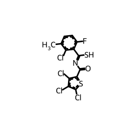 Cc1ccc(F)c(C(S)=NC(=O)c2sc(Cl)c(Cl)c2Cl)c1Cl